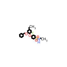 CCNS(=O)(=O)c1ccc(Oc2ccc(CC)cc2OCc2ccccc2)c(F)c1